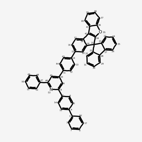 c1ccc(-c2ccc(-c3cc(-c4ccc(-c5ccc6c(c5)C5(c7ccccc7-c7ccccc75)c5oc7ccccc7c5-6)cc4)cc(-c4ccccc4)n3)cc2)cc1